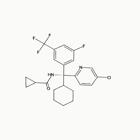 O=C(N[C@](c1cc(F)cc(C(F)(F)F)c1)(c1ccc(Cl)cn1)C1CCCCC1)C1CC1